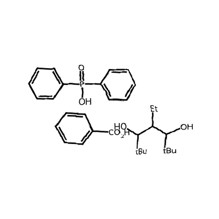 CCC(C(O)C(C)(C)C)C(O)C(C)(C)C.O=C(O)c1ccccc1.O=P(O)(c1ccccc1)c1ccccc1